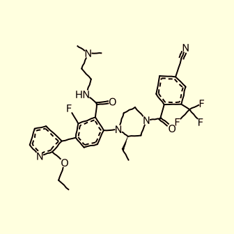 CCOc1ncccc1-c1ccc(N2CCN(C(=O)c3ccc(C#N)cc3C(F)(F)F)C[C@H]2CC)c(C(=O)NCCN(C)C)c1F